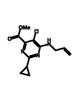 C=CCNc1nc(C2CC2)nc(C(=O)OC)c1Cl